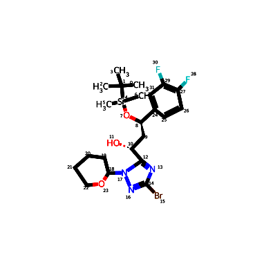 CC(C)(C)[Si](C)(C)O[C@H](C[C@@H](O)c1nc(Br)nn1C1CCCCO1)c1ccc(F)c(F)c1